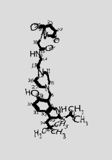 CC(C)Sc1[nH]c2c(CN3CCN(CCNC(=O)CN4C(=O)C=CC4=O)CC3)c(O)ccc2c1CC(C)(C)C